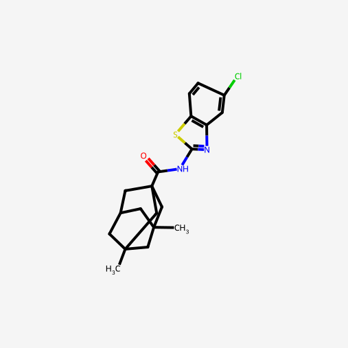 CC12CC3CC(C)(C1)CC(C(=O)Nc1nc4cc(Cl)ccc4s1)(C3)C2